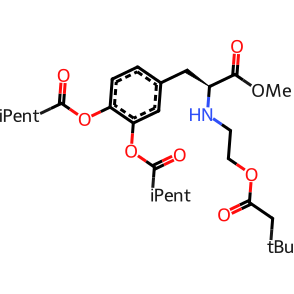 CCCC(C)C(=O)Oc1ccc(C[C@H](NCCOC(=O)CC(C)(C)C)C(=O)OC)cc1OC(=O)C(C)CCC